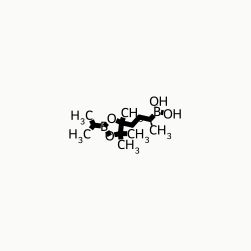 CC(C)B1OC(C)(C)C(C)(CC[C@@H](C)B(O)O)O1